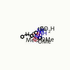 COc1cc(C(=O)NC(=NC(=O)O)N(c2ccc(C)c(NC(=O)c3ccc(CC=Cc4ccccc4)cc3)c2)C(C)(C)C)cc(OC)c1OC